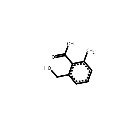 [CH2]c1cccc(CO)c1C(=O)O